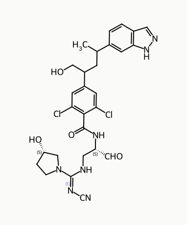 CC(CC(CO)c1cc(Cl)c(C(=O)N[C@H](C=O)CN/C(=N\C#N)N2CC[C@H](O)C2)c(Cl)c1)c1ccc2cn[nH]c2c1